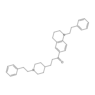 O=C(CCC1CCN(CCc2ccccc2)CC1)c1ccc2c(c1)CCCN2CCc1ccccc1